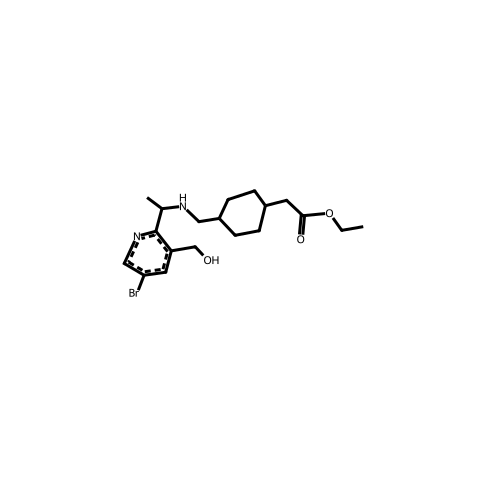 CCOC(=O)CC1CCC(CNC(C)c2ncc(Br)cc2CO)CC1